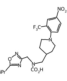 CC(C)c1nc(CN(CC2CCN(c3ccc([N+](=O)[O-])cc3C(F)(F)F)CC2)C(=O)O)no1